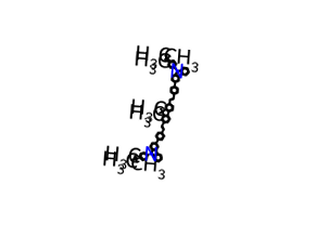 CC(C)(C)c1ccc(-n2c3ccccc3c3cc(-c4ccc(/C=C/c5ccc6c(c5)C(C)(C)c5cc(/C=C/c7ccc(-c8ccc9c(c8)c8ccccc8n9-c8ccc(C(C)(C)C)cc8)cc7)ccc5-6)cc4)ccc32)cc1